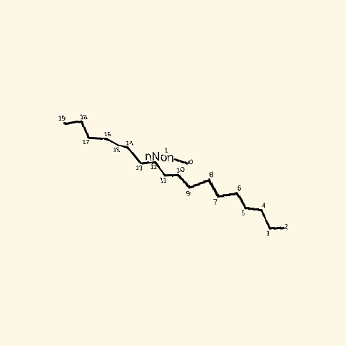 CCCCCCCCCC.CCCCCCCCCCCCCCCCCC